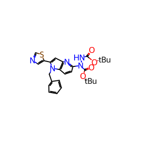 CC(C)(C)OC(=O)NN(C(=O)OC(C)(C)C)c1ccc2c(cc(-c3cncs3)n2Cc2ccccc2)n1